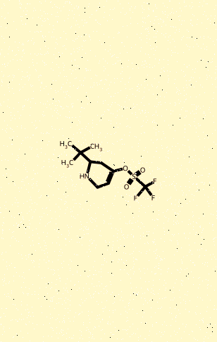 CC(C)(C)C1CC(OS(=O)(=O)C(F)(F)F)=CCN1